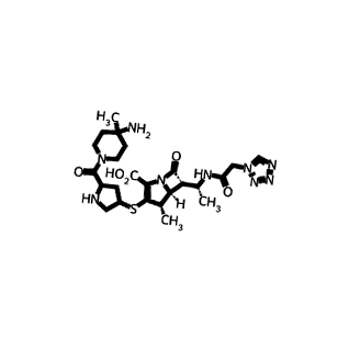 C[C@@H](NC(=O)Cn1cnnn1)[C@H]1C(=O)N2C(C(=O)O)=C(SC3CNC(C(=O)N4CCC(C)(N)CC4)C3)[C@H](C)[C@H]12